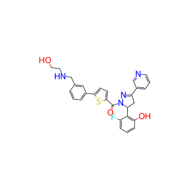 O=C(c1ccc(-c2cccc(CNCCO)c2)s1)N1N=C(c2cccnc2)CC1c1c(O)cccc1F